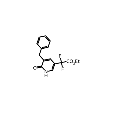 CCOC(=O)C(F)(F)c1c[nH]c(=O)c(Cc2ccccc2)c1